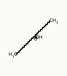 CCCCCCCCCCCCCCCCCCCC/C=C(/CCCCCCCCCCCCCCCCCC)C(=O)O